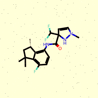 C[C@H]1CC(C)(C)c2c(F)ccc(NC(=O)C3(C(F)F)C=CN(C)N3)c21